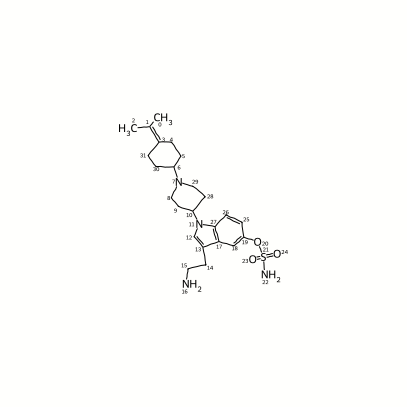 CC(C)=C1CCC(N2CCC(n3cc(CCN)c4cc(OS(N)(=O)=O)ccc43)CC2)CC1